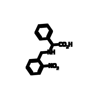 O=C(O)C(NCc1ccccc1[N+](=O)[O-])c1ccccc1